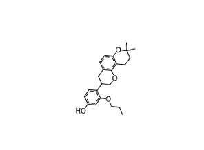 CCCOc1cc(O)ccc1C1COc2c(ccc3c2CCC(C)(C)O3)C1